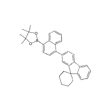 CC1(C)OB(c2ccc(-c3ccc4c(c3)C3(CCCCC3)c3ccccc3-4)c3ccccc23)OC1(C)C